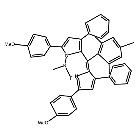 COc1ccc(C2=N/C(=C(/c3c(C)cc(C)cc3C)c3c(-c4ccccc4)cc(-c4ccc(OC)cc4)n3B(C)F)C(c3ccccc3)=C2)cc1